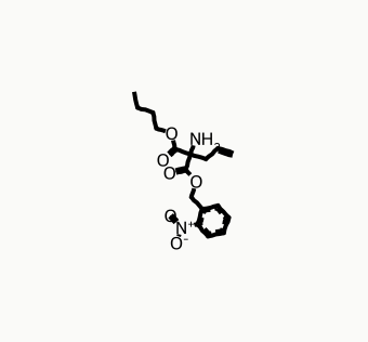 C=CCC(N)(C(=O)OCCCC)C(=O)OCc1ccccc1[N+](=O)[O-]